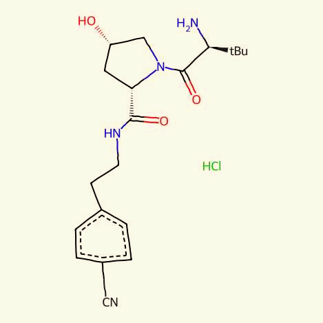 CC(C)(C)[C@H](N)C(=O)N1C[C@@H](O)C[C@H]1C(=O)NCCc1ccc(C#N)cc1.Cl